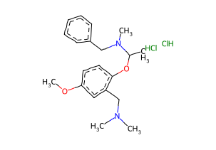 COc1ccc(OC(C)N(C)Cc2ccccc2)c(CN(C)C)c1.Cl.Cl